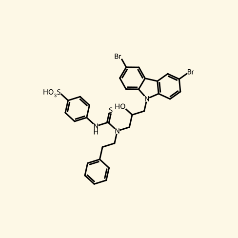 O=S(=O)(O)c1ccc(NC(=S)N(CCc2ccccc2)CC(O)Cn2c3ccc(Br)cc3c3cc(Br)ccc32)cc1